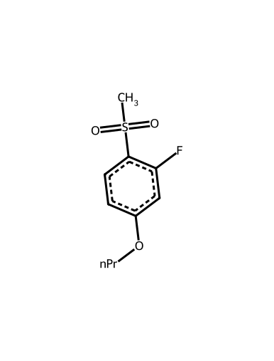 CCCOc1ccc(S(C)(=O)=O)c(F)c1